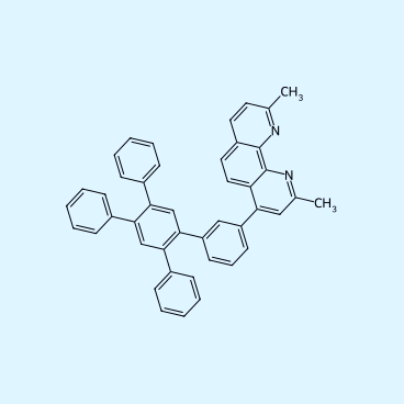 Cc1ccc2ccc3c(-c4cccc(-c5cc(-c6ccccc6)c(-c6ccccc6)cc5-c5ccccc5)c4)cc(C)nc3c2n1